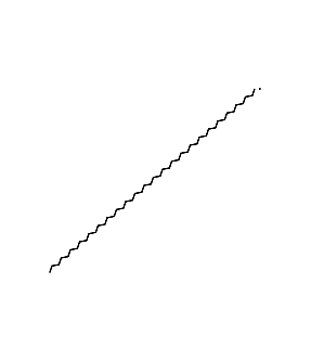 [CH2]CCCCCCCCCCCCCCCCCCCCCCCCCCCCCCCCCCCCCCCCCCCCC